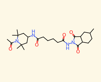 CC(=O)N1C(C)(C)CC(NC(=O)CCCCC(=O)NN2C(=O)C3CCC(C)CC3C2=O)CC1(C)C